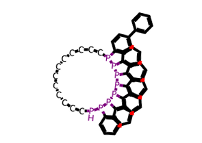 c1ccc(-c2ccc(P3CCCCCCCCCCCCPP(c4ccccc4)P(c4ccccc4)P(c4ccccc4)P(c4ccccc4)P(c4ccccc4)P3c3ccccc3)cc2)cc1